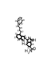 NC(=O)c1ccc2c(-c3cc4c(CCCCN5CCOCC5)cccc4[nH]3)n[nH]c2c1